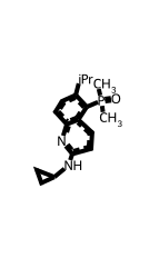 CC(C)c1ccc2nc(NC3CC3)ccc2c1P(C)(C)=O